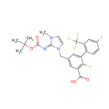 Cn1ccn(Cc2cc(C(=O)O)c(F)c(-c3ccc(F)cc3C(F)(F)F)c2)c1=NC(=O)OC(C)(C)C